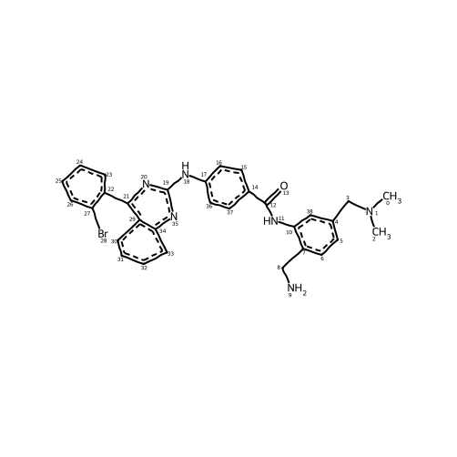 CN(C)Cc1ccc(CN)c(NC(=O)c2ccc(Nc3nc(-c4ccccc4Br)c4ccccc4n3)cc2)c1